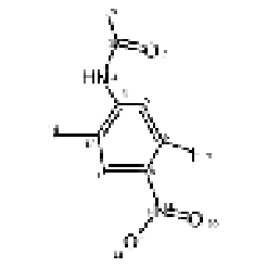 CC(=O)Nc1cc(F)c([N+](=O)[O-])cc1C